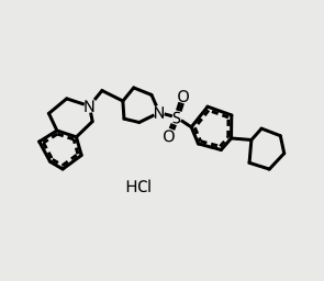 Cl.O=S(=O)(c1ccc(C2CCCCC2)cc1)N1CCC(CN2CCc3ccccc3C2)CC1